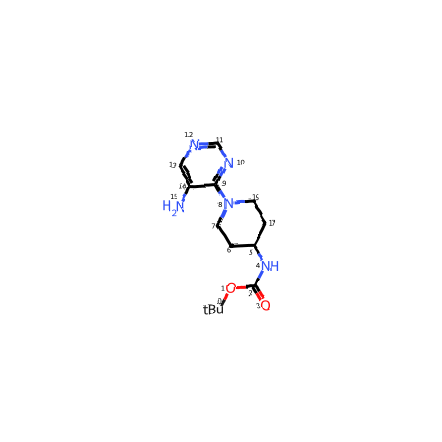 CC(C)(C)OC(=O)NC1CCN(c2ncncc2N)CC1